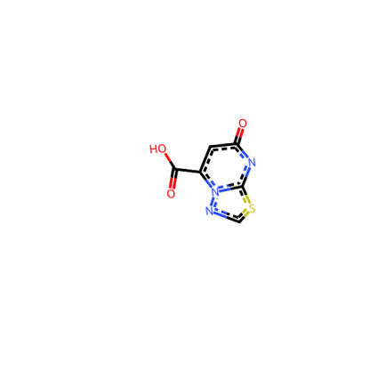 O=C(O)c1cc(=O)nc2scnn12